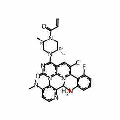 C=CC(=O)N1C[C@H](C)N(c2nc(=O)n(-c3c(N(C)C)ccnc3C(C)C)c3nc(-c4c(N)cccc4F)c(Cl)cc23)C[C@H]1C